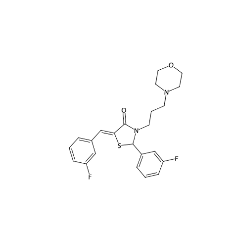 O=C1C(=Cc2cccc(F)c2)SC(c2cccc(F)c2)N1CCCN1CCOCC1